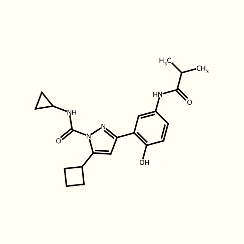 CC(C)C(=O)Nc1ccc(O)c(-c2cc(C3CCC3)n(C(=O)NC3CC3)n2)c1